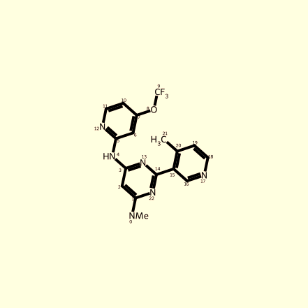 CNc1cc(Nc2cc(OC(F)(F)F)ccn2)nc(-c2cnccc2C)n1